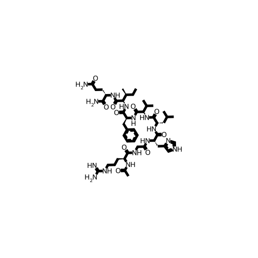 CC[C@H](C)[C@H](NC(=O)[C@H](Cc1ccccc1)NC(=O)[C@@H](NC(=O)[C@H](CC(C)C)NC(=O)[C@H](Cc1c[nH]cn1)NC(=O)CNC(=O)[C@H](CCCNC(=N)N)NC(C)=O)C(C)C)C(=O)N[C@@H](CCC(N)=O)C(N)=O